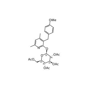 COc1ccc(Cc2c(C)cc(C)nc2O[C@@H]2O[C@H](COC(C)=O)[C@@H](OC(C)=O)[C@H](OC(C)=O)[C@H]2OC(C)=O)cc1